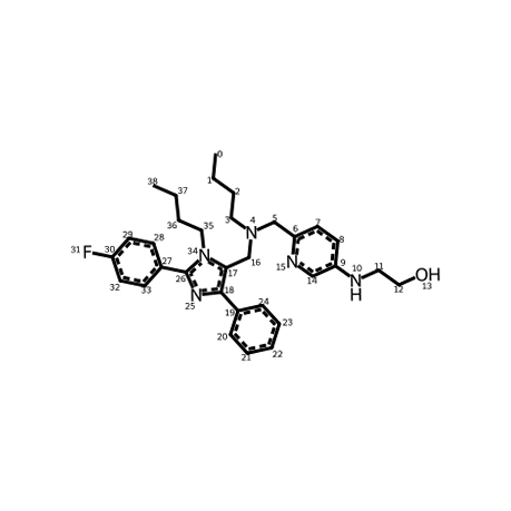 CCCCN(Cc1ccc(NCCO)cn1)Cc1c(-c2ccccc2)nc(-c2ccc(F)cc2)n1CCCC